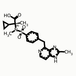 Cc1nc2c(Cc3ccc(S(=O)(=O)N(C)[C@@](C)(C(=O)O)C4CC4)cc3)nccc2[nH]1